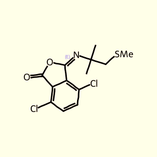 CSCC(C)(C)/N=C1/OC(=O)c2c(Cl)ccc(Cl)c21